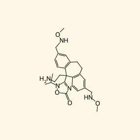 CONCc1ccc2c(c1)CCc1cc(CNOC)ccc1C2(CCN)c1nc(=O)on1C(C)C